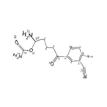 N#Cc1cc(C(=O)CCCC(N)OC(N)=O)ccc1F